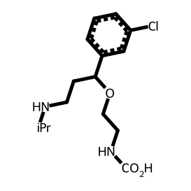 CC(C)NCCC(OCCNC(=O)O)c1cccc(Cl)c1